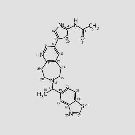 CC(=O)Nc1ncc(-c2cnc3c(c2)CCN(C(C)c2ccc4scnc4c2)CC3)s1